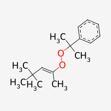 CC(=CC(C)(C)C)OOC(C)(C)c1ccccc1